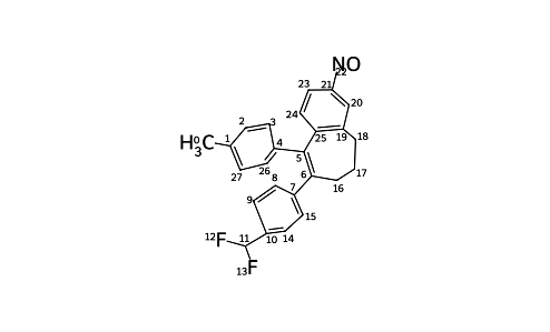 Cc1ccc(C2=C(c3ccc(C(F)F)cc3)CCCc3cc(N=O)ccc32)cc1